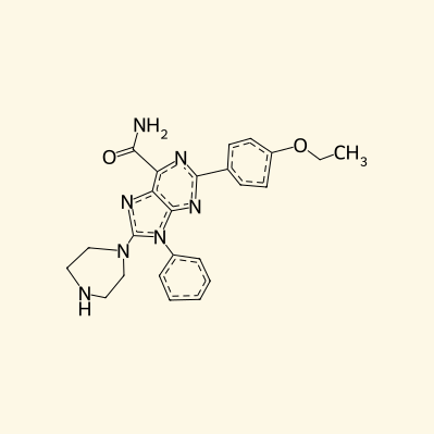 CCOc1ccc(-c2nc(C(N)=O)c3nc(N4CCNCC4)n(-c4ccccc4)c3n2)cc1